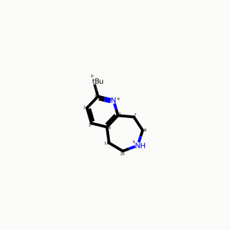 CC(C)(C)c1ccc2c(n1)CCNCC2